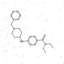 CCN(CC)C(=O)c1ccc(NC2CCN(Cc3ccccc3)CC2)cc1